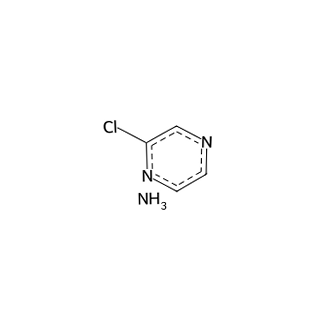 Clc1cnccn1.N